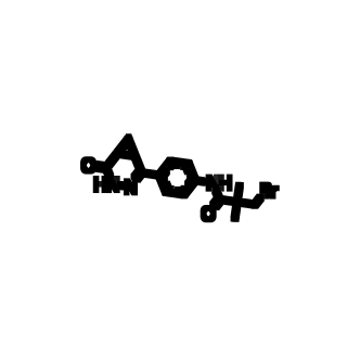 CC(C)(CBr)C(=O)Nc1ccc(C2=NNC(=O)C3CC23)cc1